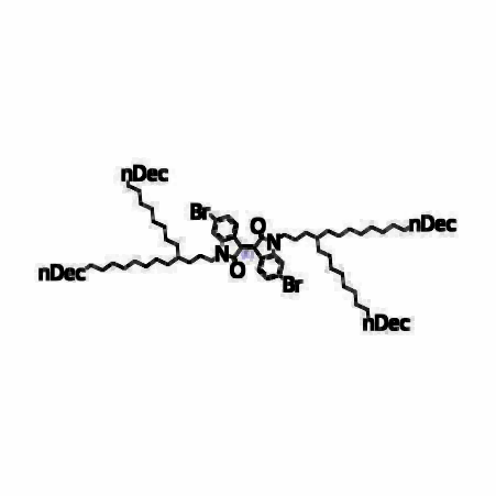 CCCCCCCCCCCCCCCCCCC(CCCCCCCCCCCCCCCCCC)CCCN1C(=O)/C(=C2/C(=O)N(CCCC(CCCCCCCCCCCCCCCCCC)CCCCCCCCCCCCCCCCCC)c3cc(Br)ccc32)c2ccc(Br)cc21